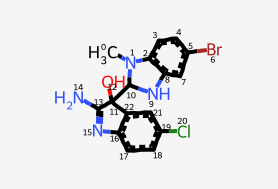 CN1c2ccc(Br)cc2NC1C1(O)C(N)=Nc2ccc(Cl)cc21